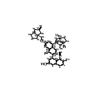 C#Cc1c(F)ccc2cc(O)cc(-c3ncc4c(N5C[C@H]6CC[C@H](N6)C5C)nc(OCC56CCCN5CC(=C)C6)nc4c3F)c12